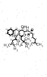 CC(C)CCCS(=O)(=O)NC[C@@H](O)[C@H](Cc1ccccc1)N(NC(=O)CN(C)C)C(=O)CC(C)(C)C